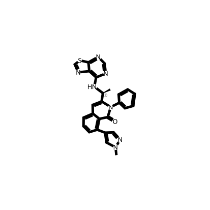 C[C@H](Nc1ncnc2scnc12)c1cc2cccc(-c3cnn(C)c3)c2c(=O)n1-c1ccccc1